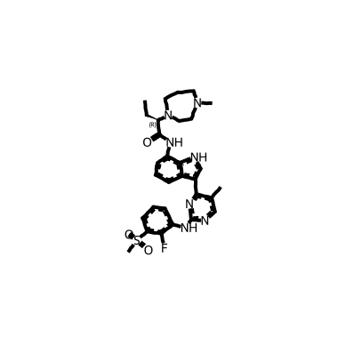 CC[C@H](C(=O)Nc1cccc2c(-c3nc(Nc4cccc(S(C)(=O)=O)c4F)ncc3C)c[nH]c12)N1CCCN(C)CC1